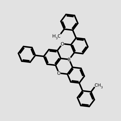 Cc1ccccc1-c1ccc2c(c1)Oc1cc(-c3ccccc3)cc3c1B2c1cccc(-c2ccccc2C)c1O3